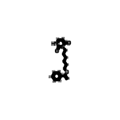 C=C(OCCCCCCn1c(=O)cc[nH]c1=O)c1ccccc1